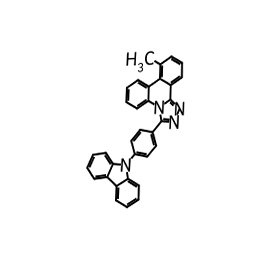 Cc1cccc2c1c1ccccc1n1c(-c3ccc(-n4c5ccccc5c5ccccc54)cc3)nnc21